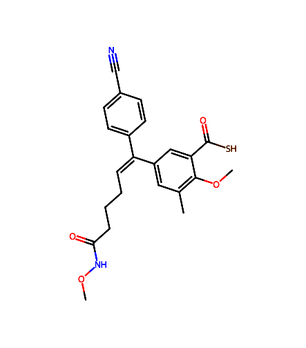 CONC(=O)CCC/C=C(/c1ccc(C#N)cc1)c1cc(C)c(OC)c(C(=O)S)c1